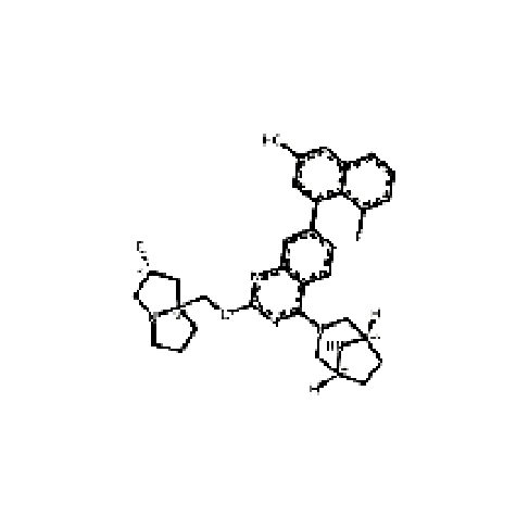 Oc1cc(-c2ccc3c(N4C[C@H]5CC[C@@H](C4)N5)nc(OC[C@@]45CCCN4C[C@H](F)C5)nc3c2)c2c(F)cccc2c1